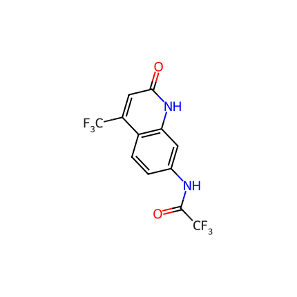 O=C(Nc1ccc2c(C(F)(F)F)cc(=O)[nH]c2c1)C(F)(F)F